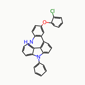 Nc1ccc(Oc2ccccc2Cl)cc1-c1cccc2c1c1ccccc1n2-c1ccccc1